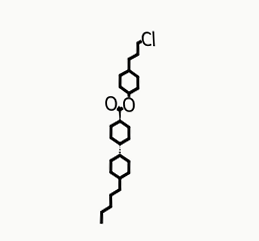 CCCCCC1CCC([C@H]2CC[C@H](C(=O)OC3CCC(CCCCl)CC3)CC2)CC1